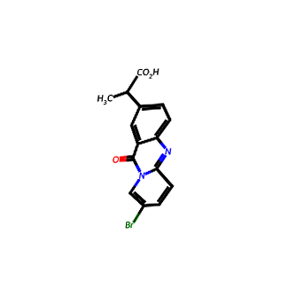 CC(C(=O)O)c1ccc2nc3ccc(Br)cn3c(=O)c2c1